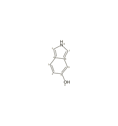 Oc1ccc2c[nH]cc2c1